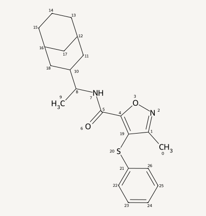 Cc1noc(C(=O)NC(C)C2CC3CCCC(C3)C2)c1Sc1ccccc1